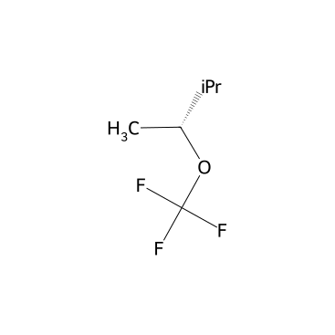 CC(C)[C@@H](C)OC(F)(F)F